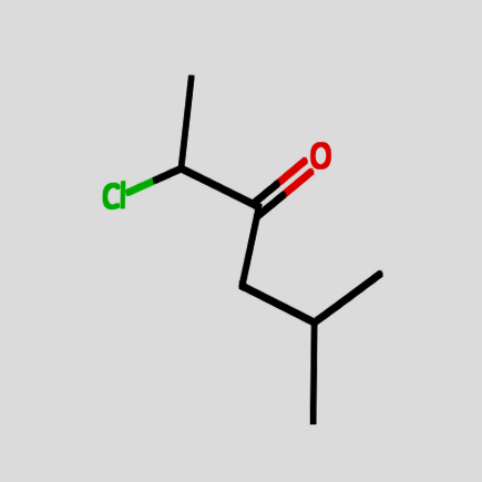 CC(C)CC(=O)C(C)Cl